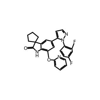 O=C1Nc2c(Oc3ccccn3)cc(-c3ccnn3-c3ccc(F)cc3F)cc2C12CCCC2